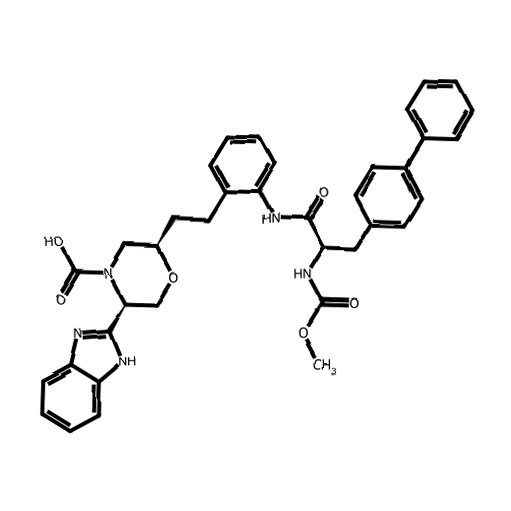 COC(=O)NC(Cc1ccc(-c2ccccc2)cc1)C(=O)Nc1ccccc1CC[C@@H]1CN(C(=O)O)[C@H](c2nc3ccccc3[nH]2)CO1